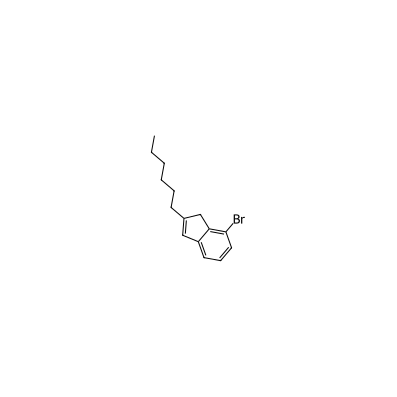 CCCCCCC1=Cc2cccc(Br)c2C1